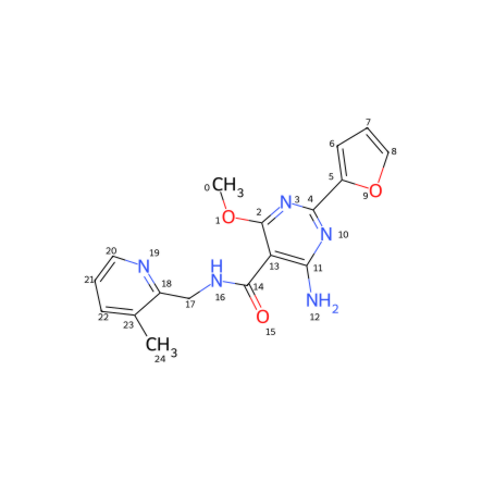 COc1nc(-c2ccco2)nc(N)c1C(=O)NCc1ncccc1C